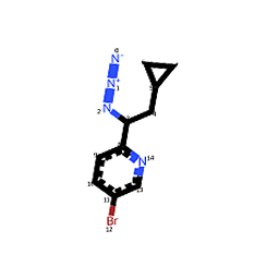 [N-]=[N+]=NC(CC1CC1)c1ccc(Br)cn1